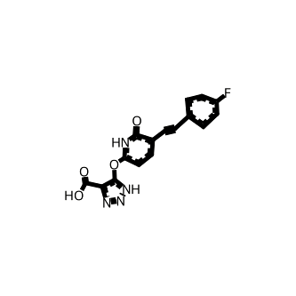 O=C(O)c1nn[nH]c1Oc1ccc(C#Cc2ccc(F)cc2)c(=O)[nH]1